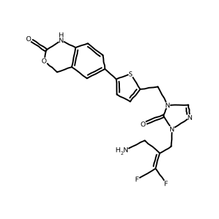 NCC(Cn1ncn(Cc2ccc(-c3ccc4c(c3)COC(=O)N4)s2)c1=O)=C(F)F